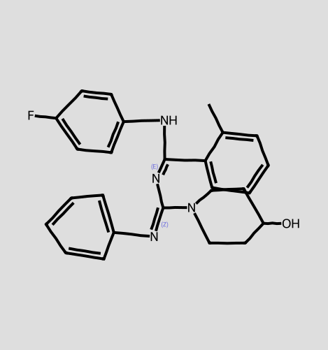 Cc1ccccc1/C(=N\C(=N/c1ccccc1)N1CCC(O)CC1)Nc1ccc(F)cc1